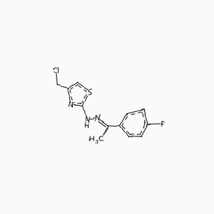 C/C(=N\Nc1nc(CCl)cs1)c1ccc(F)cc1